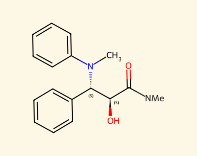 CNC(=O)[C@@H](O)[C@H](c1ccccc1)N(C)c1ccccc1